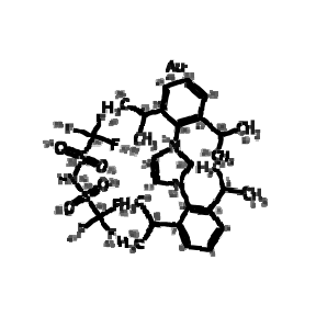 CC(C)c1cccc(C(C)C)c1N1C=CN(c2c(C(C)C)cccc2C(C)C)C1.O=S(=O)(NS(=O)(=O)C(F)(F)F)C(F)(F)F.[Au]